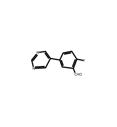 O=Cc1cc(-c2cncnc2)ccc1F